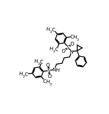 Cc1cc(C)c(S(=O)(=O)NCCCCN(C2(c3ccccc3)CC2)S(=O)(=O)c2c(C)cc(C)cc2C)c(C)c1